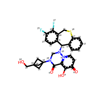 O=C1c2c(O)c(=O)ccn2N([C@@H]2c3ccccc3SCc3c2ccc(F)c3F)CN1C12CC(CO)(C1)C2